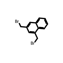 BrCc1cc(CBr)c2ccccc2c1